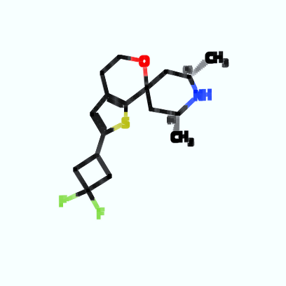 C[C@@H]1CC2(C[C@H](C)N1)OCCc1cc(C3CC(F)(F)C3)sc12